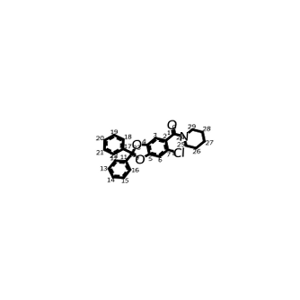 O=C(c1cc2c(cc1Cl)OC(c1ccccc1)(c1ccccc1)O2)N1CCCCC1